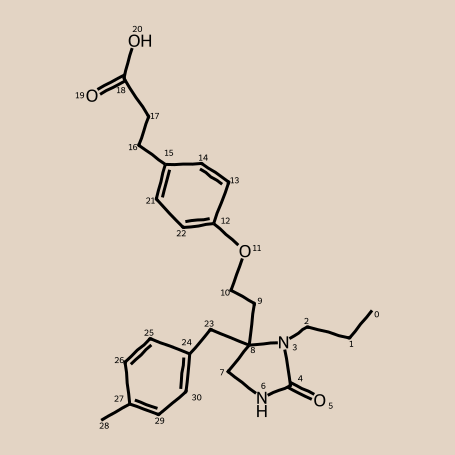 CCCN1C(=O)NCC1(CCOc1ccc(CCC(=O)O)cc1)Cc1ccc(C)cc1